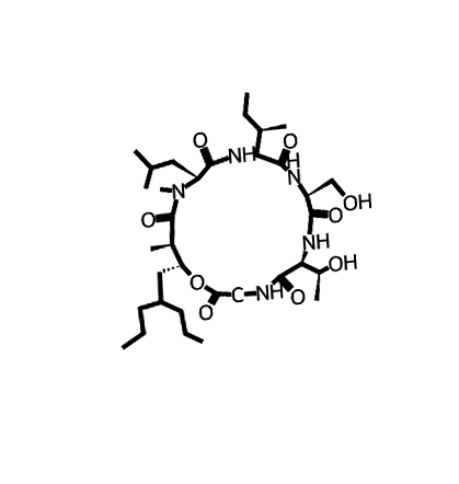 CCCC(CCC)C[C@H]1OC(=O)CNC(=O)[C@H]([C@H](C)O)NC(=O)[C@H](CO)NC(=O)[C@H]([C@H](C)CC)NC(=O)[C@H](CC(C)C)N(C)C(=O)[C@@H]1C